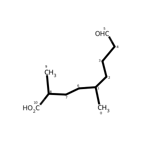 CC(CCCC=O)CCC(C)C(=O)O